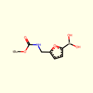 CC(C)(C)OC(=O)NCc1ccc(B(O)O)o1